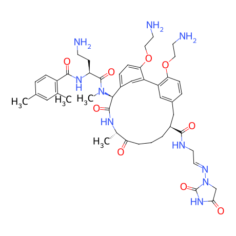 Cc1ccc(C(=O)N[C@@H](CCN)C(=O)N(C)[C@@H]2C(=O)N[C@@H](C)C(=O)CCC[C@H](C(=O)NC/C=N/N3CC(=O)NC3=O)Cc3ccc(OCCN)c(c3)-c3cc2ccc3OCCN)c(C)c1